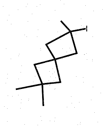 CC1(C)CC2(C1)CC(C)(I)C2